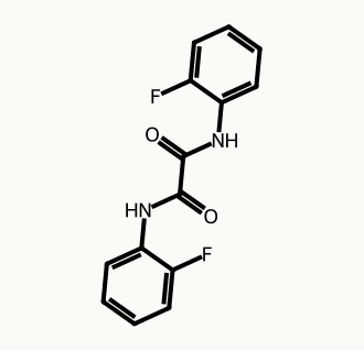 O=C(Nc1ccccc1F)C(=O)Nc1ccccc1F